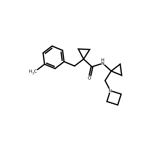 Cc1cccc(CC2(C(=O)NC3(CN4CCC4)CC3)CC2)c1